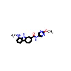 CNc1cccc2c3c([nH]c12)C=C(C(=O)Nc1cnc(OC)nc1)C=CC3